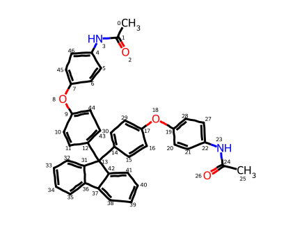 CC(=O)Nc1ccc(Oc2ccc(C3(c4ccc(Oc5ccc(NC(C)=O)cc5)cc4)c4ccccc4-c4ccccc43)cc2)cc1